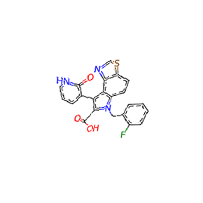 O=C(O)c1c(-c2ccc[nH]c2=O)c2c3ncsc3ccc2n1Cc1ccccc1F